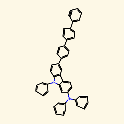 c1cccc(-c2ccc(-c3ccc(-c4ccc5c(c4)c4ccc(N(c6ccccc6)c6ccccc6)cc4n5-c4ccccc4)cc3)cc2)c#1